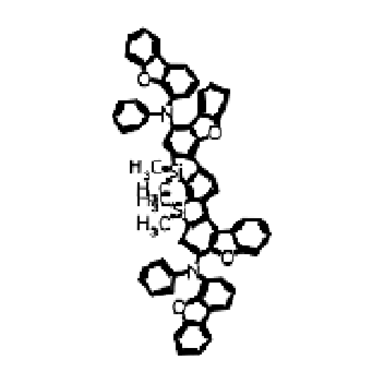 C[Si]1(C)c2cc(N(c3ccccc3)c3cccc4c3oc3ccccc34)c3c(oc4ccccc43)c2-c2ccc3c(c21)[Si](C)(C)c1cc(N(c2ccccc2)c2cccc4c2oc2ccccc24)c2oc4ccccc4c2c1-3